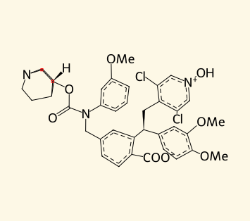 COc1cccc(N(Cc2ccc(C(=O)[O-])c([C@@H](Cc3c(Cl)c[n+](O)cc3Cl)c3ccc(OC)c(OC)c3)c2)C(=O)O[C@H]2CN3CCC2CC3)c1